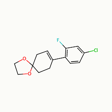 Fc1cc(Cl)ccc1C1=CCC2(CC1)OCCO2